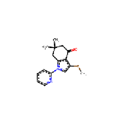 CSc1cn(-c2ccccn2)c2c1C(=O)CC(C)(C)C2